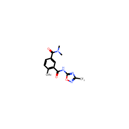 CC(=O)Oc1ccc(C(=O)N(C)C)cc1C(=O)Nc1nc(C(F)(F)F)no1